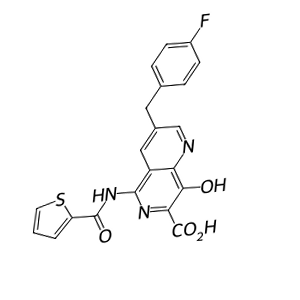 O=C(Nc1nc(C(=O)O)c(O)c2ncc(Cc3ccc(F)cc3)cc12)c1cccs1